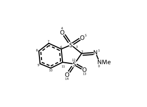 CNN=C1S(=O)(=O)c2ccccc2S1(=O)=O